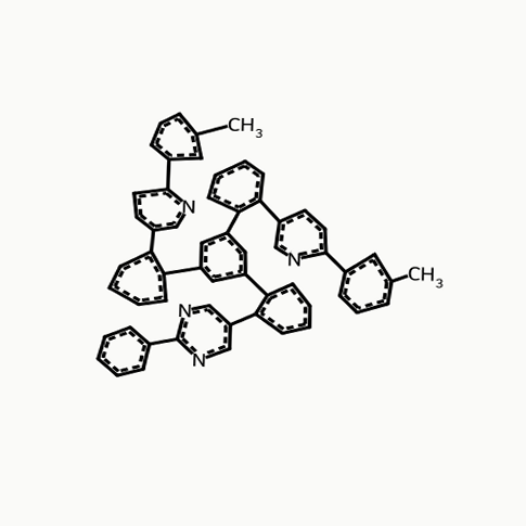 Cc1cccc(-c2ccc(-c3ccccc3-c3cc(-c4ccccc4-c4ccc(-c5cccc(C)c5)nc4)cc(-c4ccccc4-c4cnc(-c5ccccc5)nc4)c3)cn2)c1